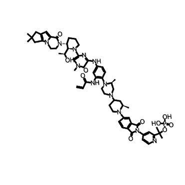 C=CC(=O)Nc1cc(Nc2nc(N3CCC[C@@H](N4CCn5c(cc6c5CC(C)(C)C6)C4=O)[C@@H]3[C@H](C)O)cn(C)c2=O)ccc1N1CCN(C2CCN(c3ccc4c(c3)C(=O)N(c3ccnc(C(C)(C)OP(=O)(O)O)c3)C4=O)[C@H](C)C2)C[C@@H]1C